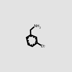 C[CH]c1cccc(CN)c1